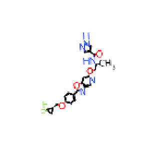 C[C@@H](COc1cc2oc(-c3ccc(OC[C@H]4CC4(F)F)cc3)nc2cn1)NC(=O)c1cn[nH]c1